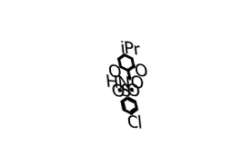 CC(C)C1CC(=O)C(C(=O)NS(=O)(=O)c2ccc(Cl)cc2)C(=O)C1